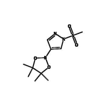 CC1(C)OB(c2cnn(S(C)(=O)=O)c2)OC1(C)C